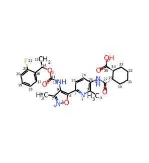 Cc1nc(-c2onc(C)c2NC(=O)O[C@H](C)c2ccccc2F)ccc1NC(=O)[C@H]1CCCC[C@@H]1C(=O)O